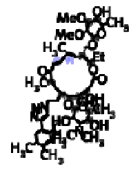 CC[C@H]1OC(=O)C[C@@H](O)[C@H](C)[C@@H](O[C@@H]2O[C@H](C)[C@@H](O)C(N(C)C)C2O)[C@@H](CCn2cc(-c3cc(C)c(C)cc3C)nn2)C[C@@H](C)C(=O)/C=C/C(C)=C/[C@@H]1CO[C@@H]1OC(C)[C@@H](O)[C@H](OC)C1OC